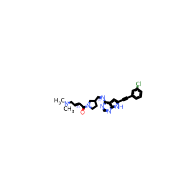 CN(C)C/C=C/C(=O)N1CCC(/C=N\c2ncnc3[nH]c(C#Cc4cccc(Cl)c4)cc23)C1